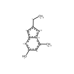 CCc1cc2nc(O)cc(C)n2n1